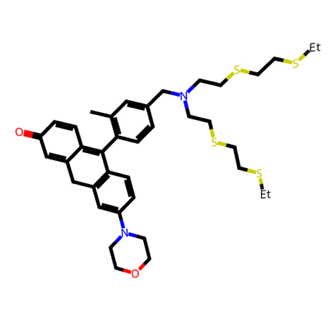 CCSCCSCCN(CCSCCSCC)Cc1ccc(C2=C3C=CC(=O)C=C3Cc3cc(N4CCOCC4)ccc32)c(C)c1